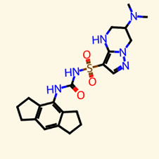 CN(C)C1CNc2c(S(=O)(=O)NC(=O)Nc3c4c(cc5c3CCC5)CCC4)cnn2C1